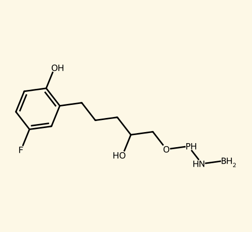 BNPOCC(O)CCCc1cc(F)ccc1O